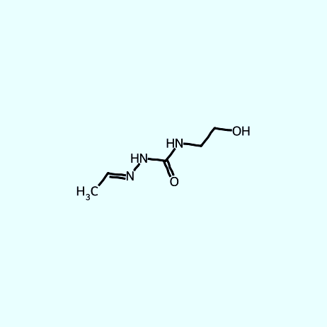 CC=NNC(=O)NCCO